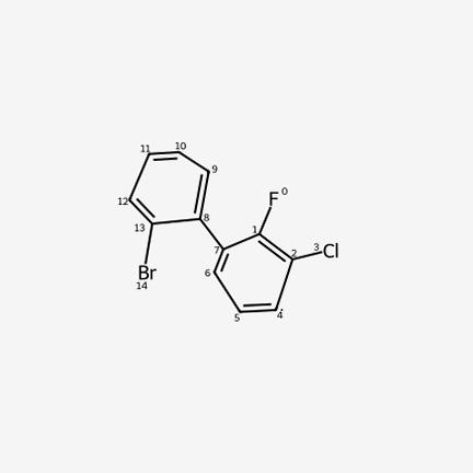 Fc1c(Cl)[c]ccc1-c1ccccc1Br